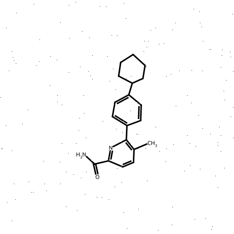 Cc1ccc(C(N)=O)nc1-c1ccc(C2CCCCC2)cc1